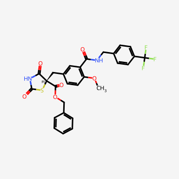 COc1ccc(C[C@@]2(C(=O)OCc3ccccc3)SC(=O)NC2=O)cc1C(=O)NCc1ccc(C(F)(F)F)cc1